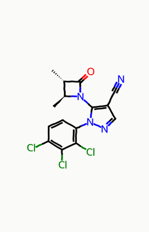 C[C@@H]1C(=O)N(c2c(C#N)cnn2-c2ccc(Cl)c(Cl)c2Cl)[C@H]1C